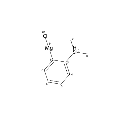 C[SiH](C)c1cccc[c]1[Mg][Cl]